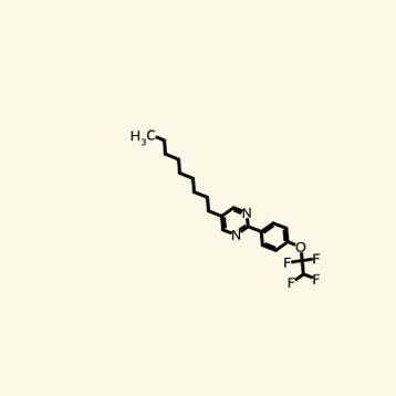 CCCCCCCCCc1cnc(-c2ccc(OC(F)(F)C(F)F)cc2)nc1